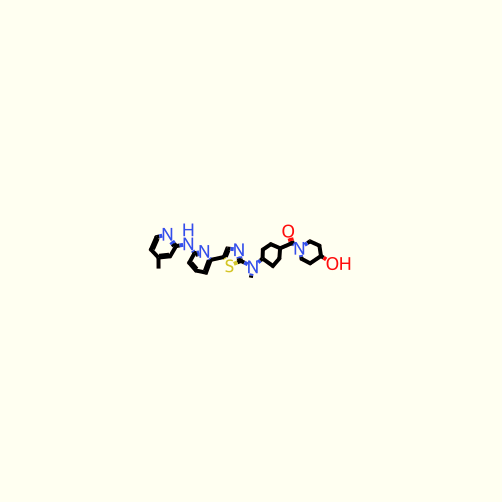 Cc1ccnc(Nc2cccc(-c3cnc(N(C)C4CCC(C(=O)N5CCC(O)CC5)CC4)s3)n2)c1